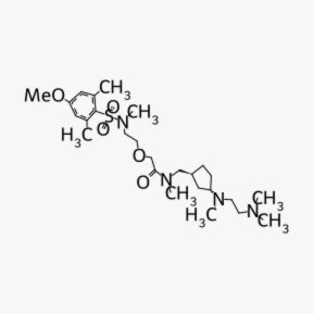 COc1cc(C)c(S(=O)(=O)N(C)CCOCC(=O)N(C)C[C@H]2CC[C@@H](N(C)CCN(C)C)C2)c(C)c1